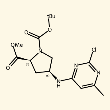 COC(=O)[C@@H]1C[C@H](Nc2cc(C)nc(Cl)n2)CN1C(=O)OC(C)(C)C